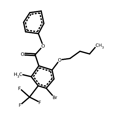 CCCCOc1cc(Br)c(C(F)(F)F)c(C)c1C(=O)Oc1ccccc1